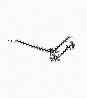 CCCCCCCCCCCCCCCCCCCCCCCCCC(=O)N[C@@H](CO[C@H]1O[C@H](COCCCCCCNC(=O)CCN2C(=O)C=CC2=O)[C@H](O)[C@@H](O)[C@@H]1O)[C@H](O)[C@H](O)CCCCCCCCCCCCCC